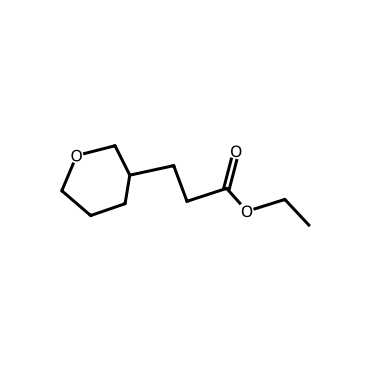 CCOC(=O)CCC1CCCOC1